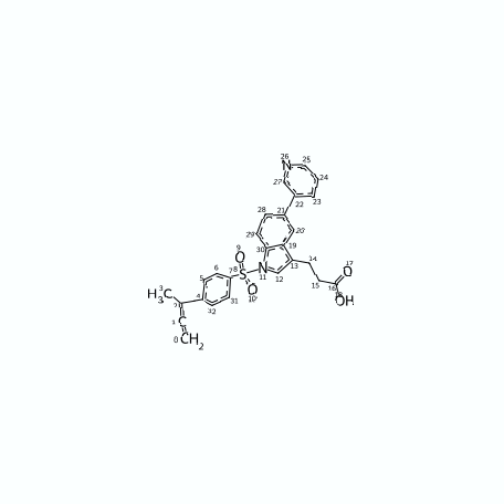 C=C=C(C)c1ccc(S(=O)(=O)n2cc(CCC(=O)O)c3cc(-c4cccnc4)ccc32)cc1